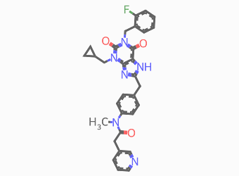 CN(C(=O)Cc1cccnc1)c1ccc(Cc2nc3c([nH]2)c(=O)n(Cc2ccccc2F)c(=O)n3CC2CC2)cc1